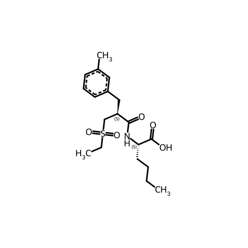 CCCC[C@H](NC(=O)[C@H](Cc1cccc(C)c1)CS(=O)(=O)CC)C(=O)O